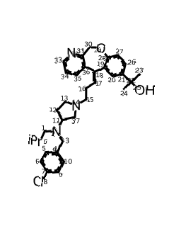 CC(C)CN(Cc1ccc(Cl)cc1)C1CCN(CCC=C2c3cc(C(C)(C)O)ccc3OCc3ncccc32)C1